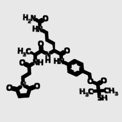 C[C@H](NC(=O)CCN1C(=O)C=CC1=O)C(=O)N[C@@H](CCCNC(N)=O)C(=O)Nc1ccc(COC(=O)C(C)(C)S)cc1